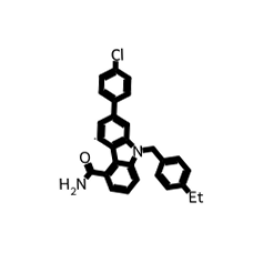 CCc1ccc(Cn2c3cc(-c4ccc(Cl)cc4)c[c]c3c3c(C(N)=O)cccc32)cc1